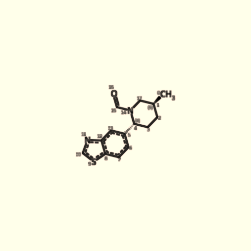 C[C@H]1CC[C@H](c2ccc3scnc3c2)N(C=O)C1